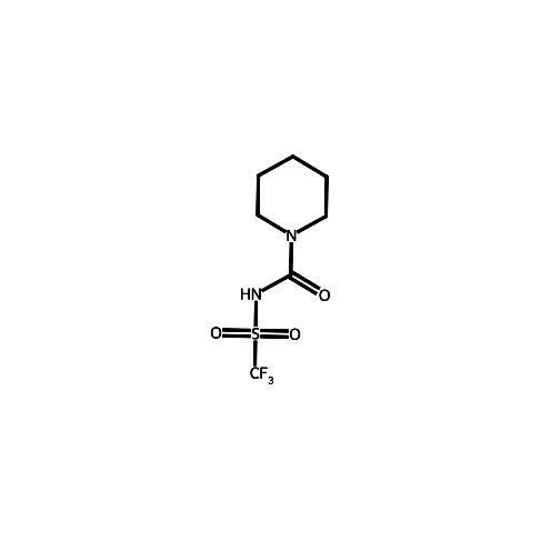 O=C(NS(=O)(=O)C(F)(F)F)N1CCCCC1